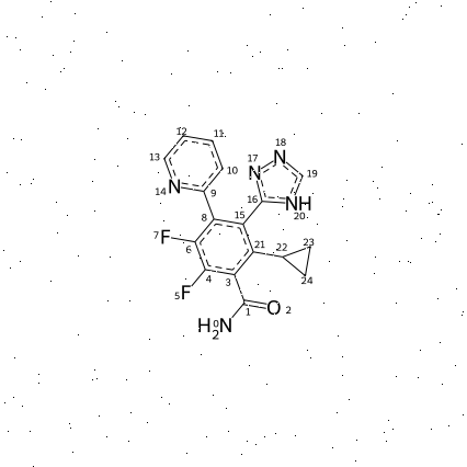 NC(=O)c1c(F)c(F)c(-c2ccccn2)c(-c2nnc[nH]2)c1C1CC1